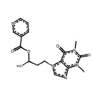 Cn1c(=O)c2c(ncn2CCC(O)OC(=O)c2cccnc2)n(C)c1=O